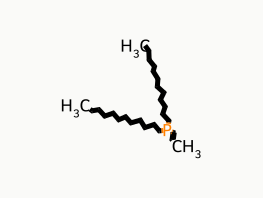 CC=CP(CCCCCCCCCCCC)CCCCCCCCCCCC